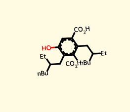 CCCCC(CC)Cc1c(O)cc(C(=O)O)c(CC(CC)CCCC)c1C(=O)O